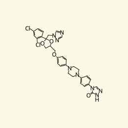 O=c1[nH]ncn1-c1ccc(N2CCN(c3ccc(OCC4COC(Cn5cncn5)(c5ccc(Cl)cc5Cl)O4)cc3)CC2)cc1